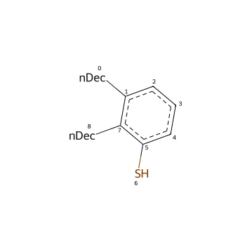 CCCCCCCCCCc1cccc(S)c1CCCCCCCCCC